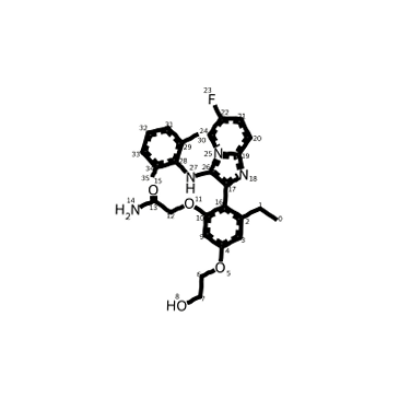 CCc1cc(OCCO)cc(OCC(N)=O)c1-c1nc2ccc(F)cn2c1Nc1c(C)cccc1C